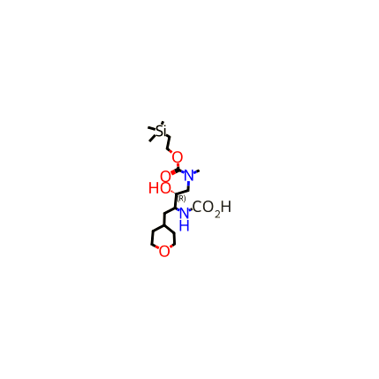 CN(C[C@@H](O)C(CC1CCOCC1)NC(=O)O)C(=O)OCC[Si](C)(C)C